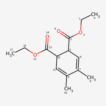 CCOC(=O)C1C=C(C)C(C)=CC1C(=O)OCC